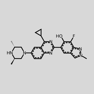 C[C@@H]1CN(c2ccc3nc(-c4cc5cn(C)nc5c(F)c4O)nc(C4CC4)c3c2)C[C@@H](C)N1